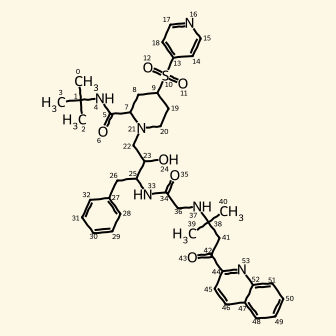 CC(C)(C)NC(=O)C1CC(S(=O)(=O)c2ccncc2)CCN1CC(O)C(Cc1ccccc1)NC(=O)CNC(C)(C)CC(=O)c1ccc2ccccc2n1